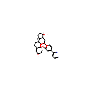 C[C@]1(O)CC[C@H]2[C@@H]3CCC4=CC(=O)CC[C@@]45Cc4cc(-c6cccnc6)ccc4[C@@H](C[C@@]21C)[C@@]35O